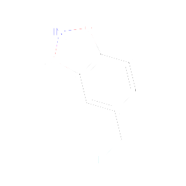 FCc1ccc2c(c1)ONO2